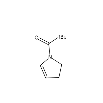 CC(C)(C)C(=O)N1C=CCC1